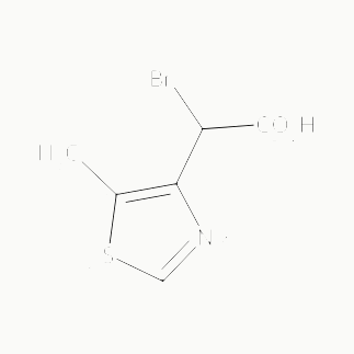 Cc1scnc1C(Br)C(=O)O